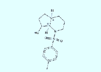 Cc1ccc(S(=O)(=O)N2CCC[C@@H]3CCC(O)[C@@H]32)cc1